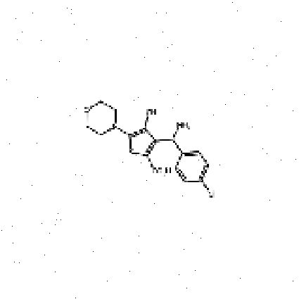 N#Cc1c(N2CCOCC2)sc(C(=O)O)c1C(N)c1ccc(Cl)cc1